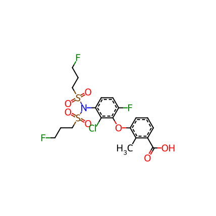 Cc1c(Oc2c(F)ccc(N(S(=O)(=O)CCCF)S(=O)(=O)CCCF)c2Cl)cccc1C(=O)O